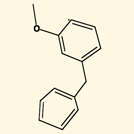 COc1[c]ccc(Cc2ccccc2)c1